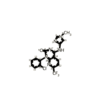 Cn1cnc(Nc2nc(=O)n(-c3ccccc3Cl)c3nc(C(F)(F)F)ccc23)c1